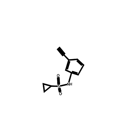 C#Cc1cccc(NS(=O)(=O)C2CC2)c1